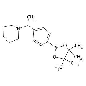 CC(c1ccc(B2OC(C)(C)C(C)(C)O2)cc1)N1CCCCC1